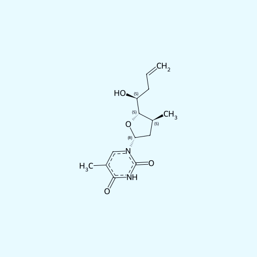 C=CC[C@H](O)[C@H]1O[C@@H](n2cc(C)c(=O)[nH]c2=O)C[C@@H]1C